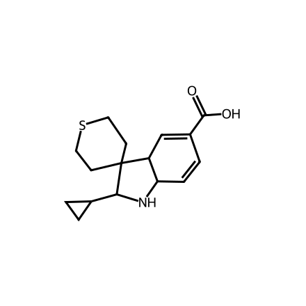 O=C(O)C1=CC2C(C=C1)NC(C1CC1)C21CCSCC1